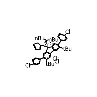 CCCC[C](CCCC)=[Zr+2]([C]1=CC=CC1)[CH]1c2cc(-c3ccc(Cl)cc3)c(C(C)(C)C)cc2-c2cc(C(C)(C)C)c(-c3ccc(Cl)cc3)cc21.[Cl-].[Cl-]